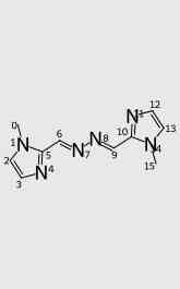 Cn1ccnc1C=NN=Cc1nccn1C